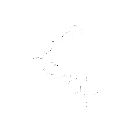 Cc1cc(C(=O)N(C)CCCCc2ccccc2)ccc1CNC(=O)N1CCCC1C(=O)N(C)C